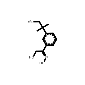 CC(C)(C)CC(C)(C)c1cccc(C(CO)=NO)c1